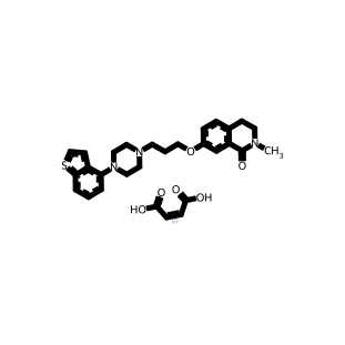 CN1CCc2ccc(OCCCN3CCN(c4cccc5sccc45)CC3)cc2C1=O.O=C(O)/C=C\C(=O)O